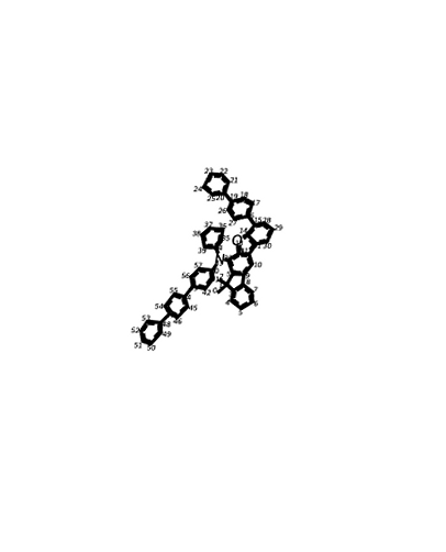 CC1(C)c2ccccc2-c2cc3c(oc4c(-c5ccc(-c6ccccc6)cc5)cccc43)c(N(c3ccccc3)c3ccc(-c4ccc(-c5ccccc5)cc4)cc3)c21